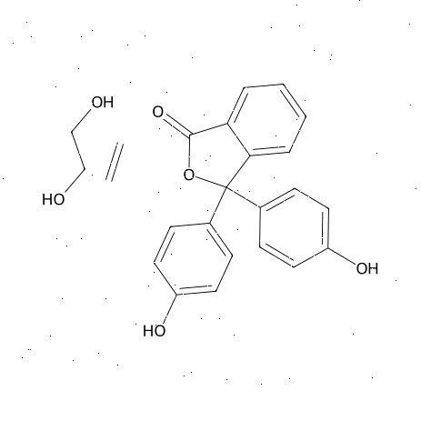 C=C.O=C1OC(c2ccc(O)cc2)(c2ccc(O)cc2)c2ccccc21.OCCO